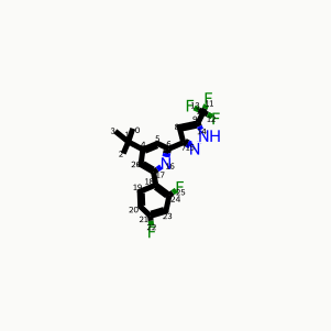 CC(C)(C)c1cc(-c2cc(C(F)(F)F)[nH]n2)nc(-c2ccc(F)cc2F)c1